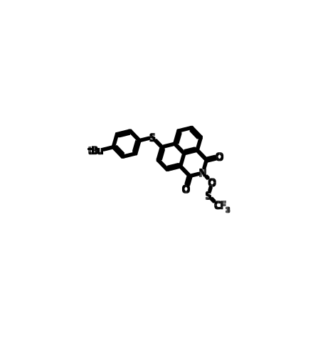 CC(C)(C)c1ccc(Sc2ccc3c4c(cccc24)C(=O)N(OSC(F)(F)F)C3=O)cc1